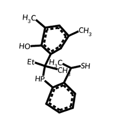 CCC(C)(Pc1ccccc1C(C)S)c1cc(C)cc(C)c1O